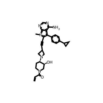 C=CC(=O)N1CC[C@@H](N2CC(C#Cc3c(-c4ccc(C5CC5)cc4)c4c(N)ncnc4n3C)C2)[C@@H](O)C1